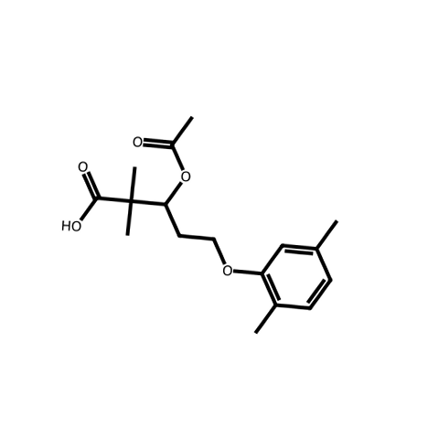 CC(=O)OC(CCOc1cc(C)ccc1C)C(C)(C)C(=O)O